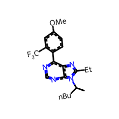 CCCCC(C)n1c(CC)nc2c(-c3ccc(OC)cc3C(F)(F)F)ncnc21